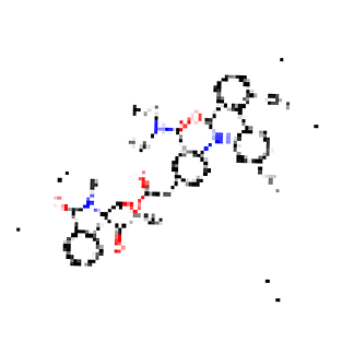 CCN1C(=O)c2ccccc2C1(COC(=O)Cc1ccc(NC(=O)c2cccc(C)c2-c2ccc(C(F)(F)F)cc2)c(C(=O)N(C)C)c1)C(=O)OC